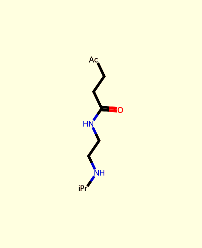 CC(=O)CCC(=O)NCCNC(C)C